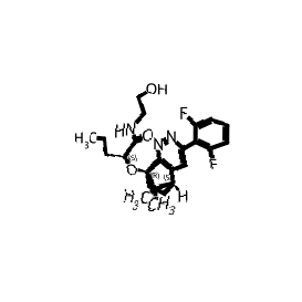 CCC[C@H](O[C@@]12CC[C@@H](c3cc(-c4c(F)cccc4F)nnc31)C2(C)C)C(=O)NCCO